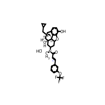 CN(C(=O)/C=C/c1cccc(OC(F)(F)F)c1)C1CC2Oc3c(O)ccc4c3[C@@]23CCN(CC2CC2)[C@H](C4)[C@]3(O)C1.Cl